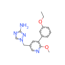 CCOc1cccc(-c2cc(Cn3cnc(N)n3)cnc2OC)c1